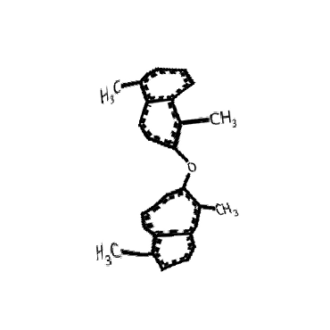 Cc1cccc2c(C)c(Oc3ccc4c(C)cccc4c3C)ccc12